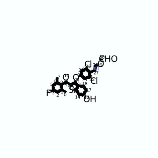 Cc1cc(F)cc(C)c1C(=O)c1sc2cc(O)ccc2c1Oc1cc(Cl)c(/C=C/OC=O)c(Cl)c1